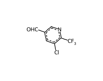 O=Cc1cnc(C(F)(F)F)c(Cl)c1